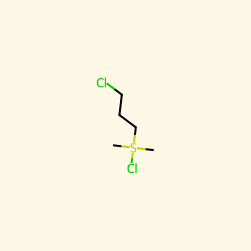 CS(C)(Cl)CCCCl